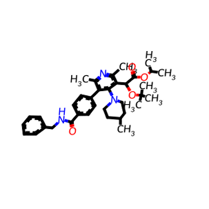 Cc1nc(C)c(C(OC(C)(C)C)C(=O)OC(C)C)c(N2CCC(C)CC2)c1-c1ccc(C(=O)NCc2ccccc2)cc1